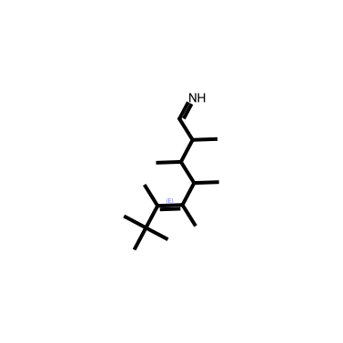 C/C(=C(/C)C(C)(C)C)C(C)C(C)C(C)C=N